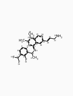 Cc1n/c(=N\C(C)c2cccc(C(F)F)c2F)c2cc(/C=C/CN)ncc2n1C